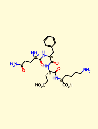 NCCCC[C@H](NC(=O)[C@H](CCC(=O)O)NC(=O)[C@H](Cc1ccccc1)NC(=O)[C@@H](N)CCC(N)=O)C(=O)O